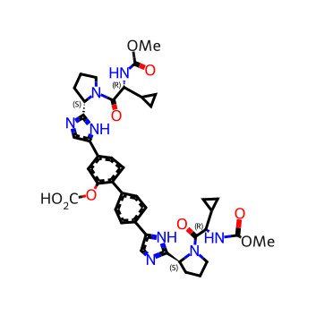 COC(=O)N[C@@H](C(=O)N1CCC[C@H]1c1ncc(-c2ccc(-c3ccc(-c4cnc([C@@H]5CCCN5C(=O)[C@H](NC(=O)OC)C5CC5)[nH]4)cc3OC(=O)O)cc2)[nH]1)C1CC1